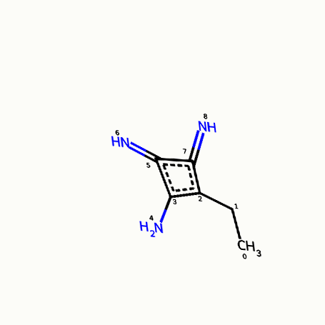 CCc1c(N)c(=N)c1=N